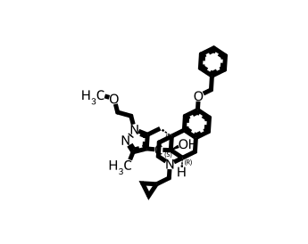 COCCn1nc(C)c2c1C[C@]13CCN(CC4CC4)[C@H](Cc4ccc(OCc5ccccc5)cc41)[C@]3(O)C2